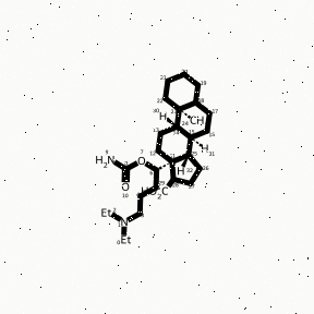 CCN(CC)CCCC(OC(N)=O)[C@]12CC[C@H]3[C@@H](CCC4CCCC[C@@]43C)[C@@H]1CCC2C(=O)O